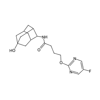 O=C(CCCOc1ncc(F)cn1)NC1C2CC3CC1CC(O)(C3)C2